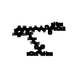 CCCCCCCCC(CCCCCC)C(=O)OCCCCCCN(CCCCCCOC(=O)C(CCCCCC)CCCCCCCC)Cc1ccccc1